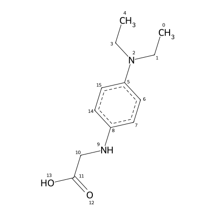 CCN(CC)c1ccc(NCC(=O)O)cc1